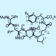 CC[C@H](C)C([C@@H](CC(=O)N1CCC[C@H]1[C@H](OC)[C@@H](C)C(=O)N[C@@H](Cc1cccc(F)c1)C(=O)O)OC)N(C)C(=O)[C@@H](NC(=O)[C@@H](NC)C(C)C)C(C)C